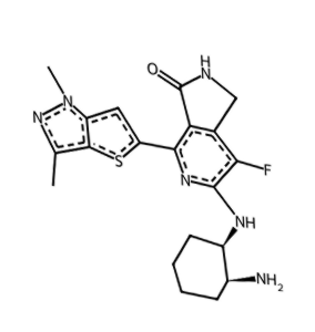 Cc1nn(C)c2cc(-c3nc(N[C@@H]4CCCC[C@@H]4N)c(F)c4c3C(=O)NC4)sc12